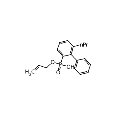 C=CCOP(=O)(O)c1cccc(CCC)c1-c1ccccc1